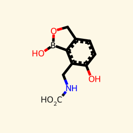 O=C(O)NCc1c(O)ccc2c1B(O)OC2